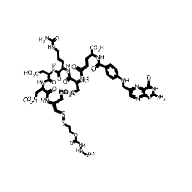 CC(C)(C)NNC(=O)OCCSSCC(CC(=O)O)NC(=O)C(CC(=O)O)NC(=O)C(CC(=O)O)NC(=O)C(CCCNC(N)=O)NC(=O)C(CC(=O)O)NC(=O)CCC(NC(=O)c1ccc(NCc2cnc3nc(N)[nH]c(=O)c3n2)cc1)C(=O)O